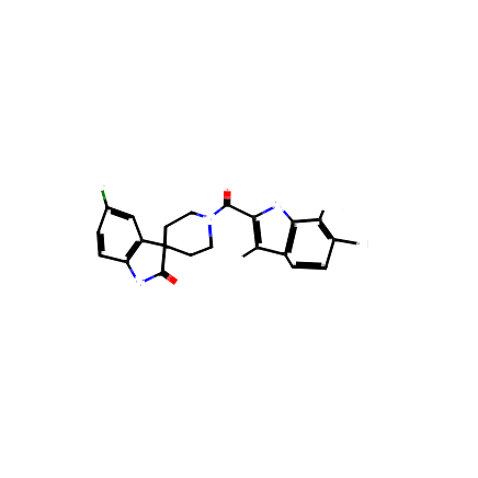 Cc1ccc2c(C)c(C(=O)N3CCC4(CC3)C(=O)Nc3ccc(Br)cc34)[nH]c2c1C